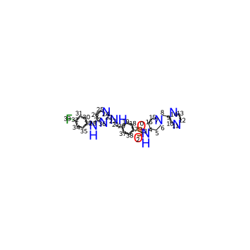 O=S(=O)(NC1CCN(Cc2cnccn2)CC1)c1ccc(CNc2nccc(Nc3ccc(F)cc3)n2)cc1